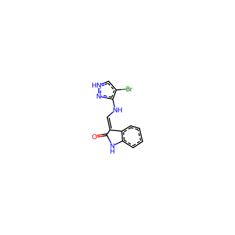 O=C1Nc2ccccc2/C1=C\Nc1n[nH]cc1Br